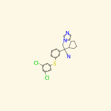 N#CC(Cn1ccnc1)(c1cccc(Sc2cc(Cl)cc(Cl)c2)c1)C1CCCC1